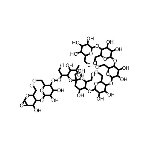 CC(O)C(O)C(OC1(CO)CC(O)C(OC2OC(CCl)C(OC3OC(CCl)C(OC4OC(CCl)C(OC5OC(CCl)C(O)C(O)C5O)C(O)C4O)C(O)C3O)C(O)C2O)C(CCl)O1)C(CCl)OOC1C(CCl)OC(OC2C(CCl)OC3OC3C2O)C(O)C1O